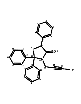 O=C1C(c2ccccc2)SC(c2ccccc2)(c2ccccc2)N1CC#CI